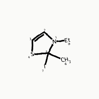 CCN1C=CSC1(C)I